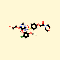 COc1ccc(Cl)c(Oc2c(NS(=O)(=O)c3ccc(OCC(=O)N4CCOCC4)cc3)ncnc2OCCO)c1